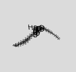 CCCCCCCCCCCCCCCCCC(=O)OC(=O)CC(C(=O)OC(=O)CCCCCCCCCCCCCCCCC)S(=O)(=O)O